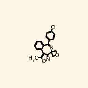 Cc1onc2c1-c1ccccc1C(c1ccc(Cl)cc1)=NC21COC1